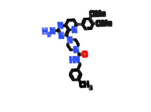 COc1ccc(-c2ccc3nc(N)nc(N4CCN(C(=O)NCc5cccc(C)c5)CC4)c3n2)cc1OC